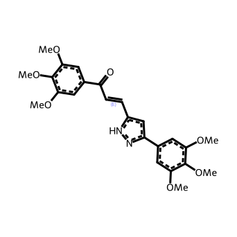 COc1cc(C(=O)/C=C/c2cc(-c3cc(OC)c(OC)c(OC)c3)n[nH]2)cc(OC)c1OC